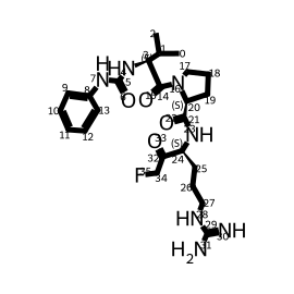 CC(C)[C@H](NC(=O)Nc1ccccc1)C(=O)N1CCC[C@H]1C(=O)N[C@@H](CCCNC(=N)N)C(=O)CF